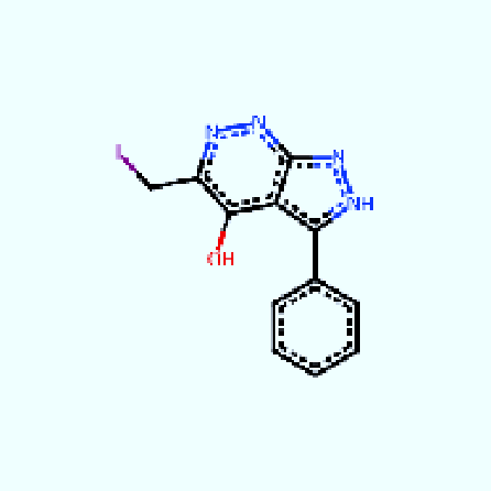 Oc1c(CI)nnc2n[nH]c(-c3ccccc3)c12